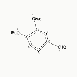 COc1cc(C=O)ccc1OCC(C)C